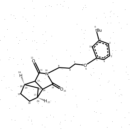 CC(C)(C)c1cccc(OCCCN2C(=O)C3C(C2=O)[C@H]2CC[C@@H]3C2)c1